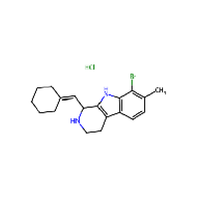 Cc1ccc2c3c([nH]c2c1Br)C(C=C1CCCCC1)NCC3.Cl